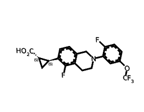 O=C(O)[C@H]1C[C@@H]1c1ccc2c(c1F)CCN(c1cc(OC(F)(F)F)ccc1F)C2